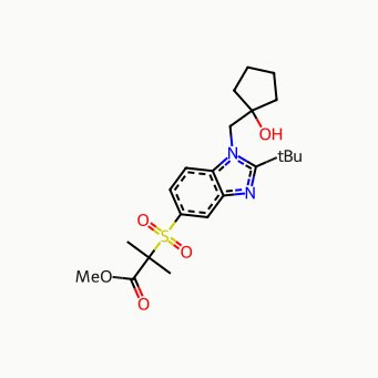 COC(=O)C(C)(C)S(=O)(=O)c1ccc2c(c1)nc(C(C)(C)C)n2CC1(O)CCCC1